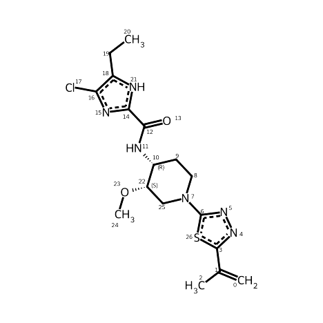 C=C(C)c1nnc(N2CC[C@@H](NC(=O)c3nc(Cl)c(CC)[nH]3)[C@@H](OC)C2)s1